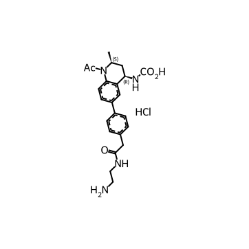 CC(=O)N1c2ccc(-c3ccc(CC(=O)NCCN)cc3)cc2[C@H](NC(=O)O)C[C@@H]1C.Cl